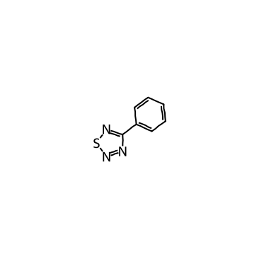 c1ccc(-c2nnsn2)cc1